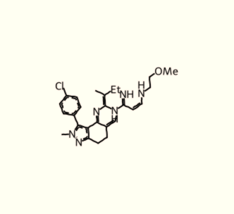 C/C=C1/CCc2nn(C)c(-c3ccc(Cl)cc3)c2/C1=N/C(NC(=N)/C=C\NCCOC)=C(\C)CC